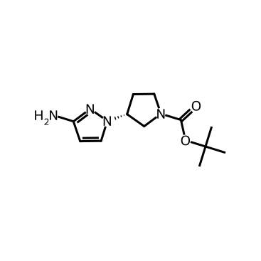 CC(C)(C)OC(=O)N1CC[C@@H](n2ccc(N)n2)C1